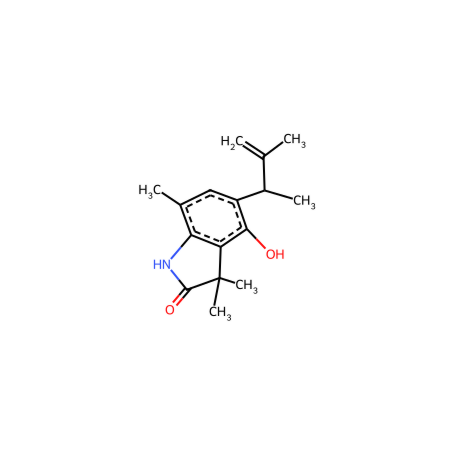 C=C(C)C(C)c1cc(C)c2c(c1O)C(C)(C)C(=O)N2